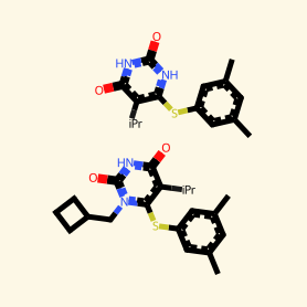 Cc1cc(C)cc(Sc2[nH]c(=O)[nH]c(=O)c2C(C)C)c1.Cc1cc(C)cc(Sc2c(C(C)C)c(=O)[nH]c(=O)n2CC2CCC2)c1